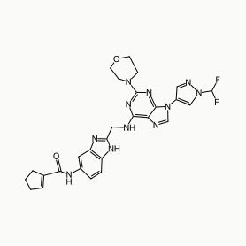 O=C(Nc1ccc2[nH]c(CNc3nc(N4CCOCC4)nc4c3ncn4-c3cnn(C(F)F)c3)nc2c1)C1=CCCC1